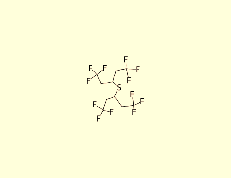 FC(F)(F)CC(CC(F)(F)F)SC(CC(F)(F)F)CC(F)(F)F